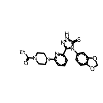 CCC(=O)N1CCN(c2cccc(-c3n[nH]c(=S)n3-c3ccc4c(c3)OCO4)n2)CC1